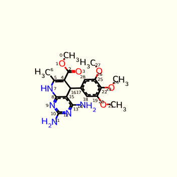 COC(=O)C1=C(C)Nc2nc(N)nc(N)c2C1c1cc(OC)c(OC)c(OC)c1